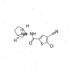 N#Cc1cc(C(=O)N[C@@H]2C[C@H]3CC[C@@H]2N3)sc1Cl